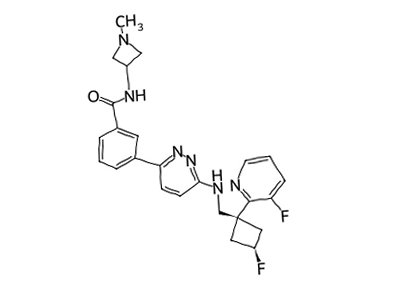 CN1CC(NC(=O)c2cccc(-c3ccc(NC[C@]4(c5ncccc5F)C[C@H](F)C4)nn3)c2)C1